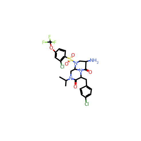 CC(C)N1CC2N(C(=O)C(N)CN2S(=O)(=O)c2ccc(OC(F)(F)F)cc2Cl)C(Cc2ccc(Cl)cc2)C1=O